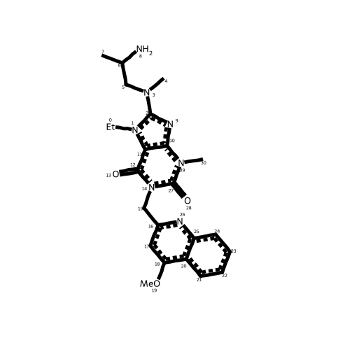 CCn1c(N(C)CC(C)N)nc2c1c(=O)n(Cc1cc(OC)c3ccccc3n1)c(=O)n2C